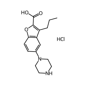 CCCc1c(C(=O)O)oc2ccc(N3CCNCC3)cc12.Cl